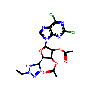 CCN1N=NC([C@H]2O[C@@H](n3cnc4c(Cl)nc(Cl)nc43)C(OC(C)=O)C2OC(C)=O)N1